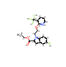 CCOC(=O)c1cc2cc(F)ccc2n1CCOc1ncccc1C(F)(F)F